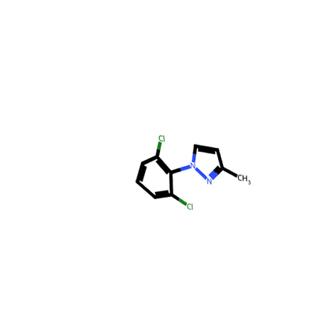 Cc1ccn(-c2c(Cl)cccc2Cl)n1